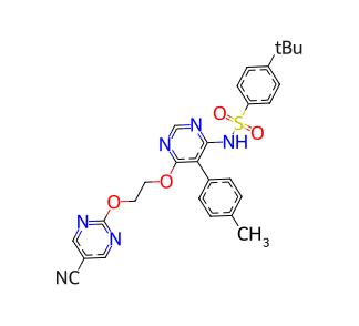 Cc1ccc(-c2c(NS(=O)(=O)c3ccc(C(C)(C)C)cc3)ncnc2OCCOc2ncc(C#N)cn2)cc1